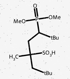 COP(=O)(OC)C(CC(C)(CC(C)(C)C)S(=O)(=O)O)C(C)(C)C